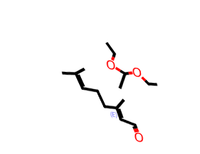 CC(C)=CCC/C(C)=C/C=O.CCOC(C)OCC